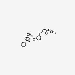 COC(=O)/C=C\CCc1cccc(OCc2nc(-c3ccccc3)oc2C)c1